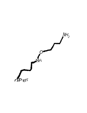 CCCCCCCCNOCCCN